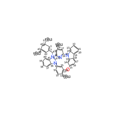 CC(C)(C)c1cc(C[n+]2cn(-c3ccc(C(C)(C)C)c(Oc4ccc5c6ccccc6n(-c6cc(C(C)(C)C)ccn6)c5c4)c3)c3ccccc32)cc(C(C)(C)C)c1